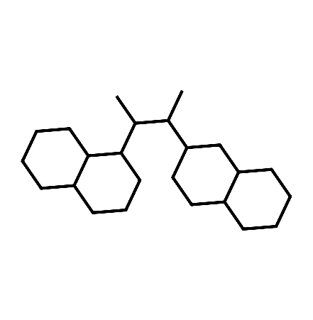 CC(C1CCC2CCCCC2C1)C(C)C1CCCC2CCCCC21